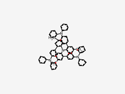 Cc1ccc(N(c2ccc(C)cc2-c2ccc(N(c3ccccc3)c3ccccc3)cc2)c2ccc(C)cc2-c2ccc(N(c3ccccc3)c3ccccc3)cc2)c(-c2ccc(N(c3ccccc3)c3ccccc3)cc2)c1